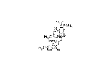 C=C(C)C[n+]1c(/C=C(/C=C2\Sc3cc(C)ccc3N2CC)OC)sc2cc(C(=C)C)ccc21